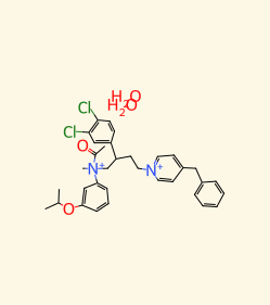 CC(=O)[N+](C)(CC(CC[n+]1ccc(Cc2ccccc2)cc1)c1ccc(Cl)c(Cl)c1)c1cccc(OC(C)C)c1.O.O